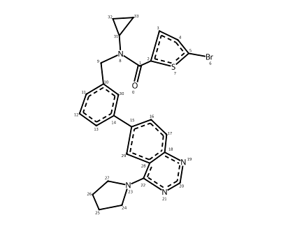 O=C(c1ccc(Br)s1)N(Cc1cccc(-c2ccc3ncnc(N4CCCC4)c3c2)c1)C1CC1